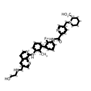 Cc1c(Nc2nccc3cc(CNCCO)cnc23)cccc1-c1cccc(NC(=O)c2ccc(CN3CCCC[C@H]3C(=O)O)cn2)c1F